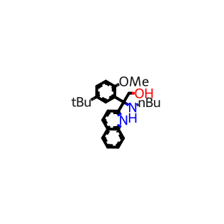 CCCCNC(CO)(c1ccc2ccccc2n1)c1cc(C(C)(C)C)ccc1OC